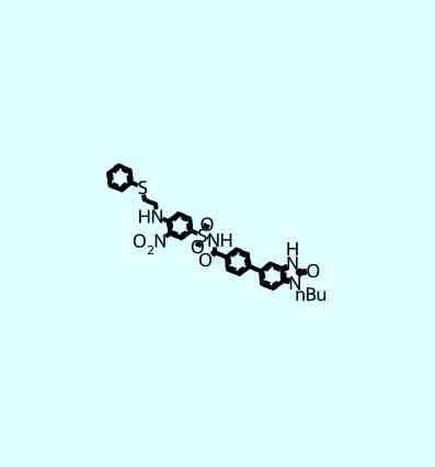 CCCCn1c(=O)[nH]c2cc(-c3ccc(C(=O)NS(=O)(=O)c4ccc(NCCSc5ccccc5)c([N+](=O)[O-])c4)cc3)ccc21